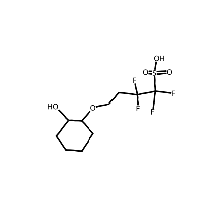 O=S(=O)(O)C(F)(F)C(F)(F)CCOC1CCCCC1O